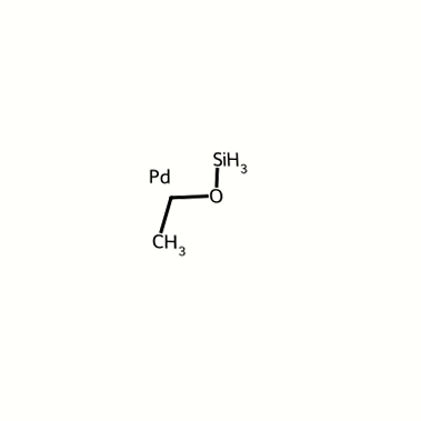 CCO[SiH3].[Pd]